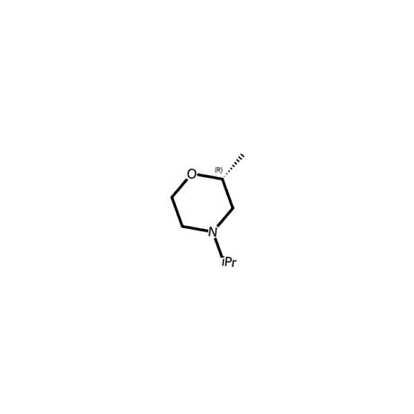 CC(C)N1CCO[C@H](C)C1